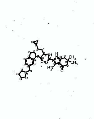 Cc1c(C(=O)NC(CCC2CC2)C(=O)N2CCc3ccc(CN4CCCC4)cc32)[nH]c2c1C(=O)CC(C)(C)C2